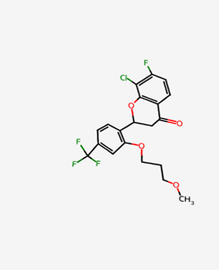 COCCCOc1cc(C(F)(F)F)ccc1C1CC(=O)c2ccc(F)c(Cl)c2O1